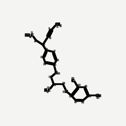 CC#CC(CC(=O)O)c1ccc(OCC(C)COc2ccc(C(C)(C)C)cc2Cl)cc1